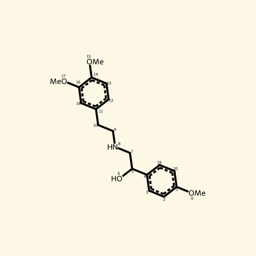 COc1ccc(C(O)CNCCc2ccc(OC)c(OC)c2)cc1